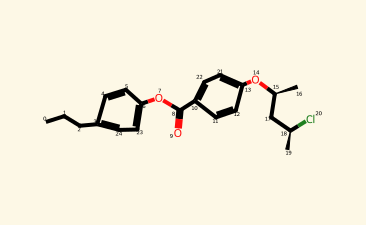 CCCc1ccc(OC(=O)c2ccc(O[C@@H](C)C[C@H](C)Cl)cc2)cc1